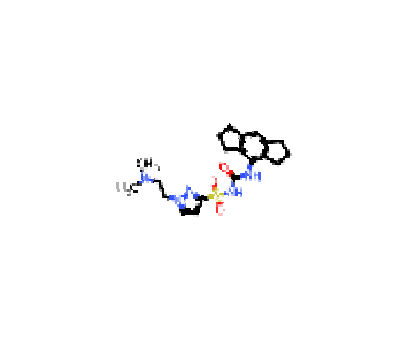 CN(C)CCn1ccc(S(=O)(=O)NC(=O)Nc2c3c(cc4c2CCC4)CCC3)n1